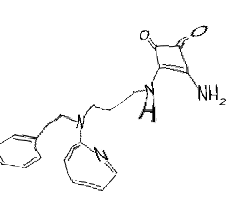 Nc1c(NCCCN(Cc2ccccc2)c2ccccn2)c(=O)c1=O